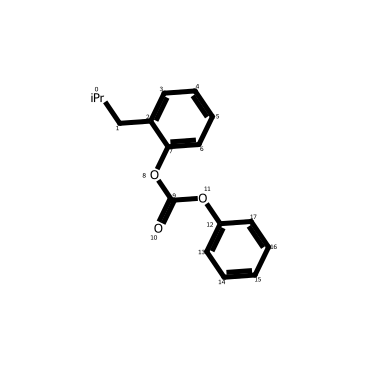 CC(C)Cc1ccccc1OC(=O)Oc1ccccc1